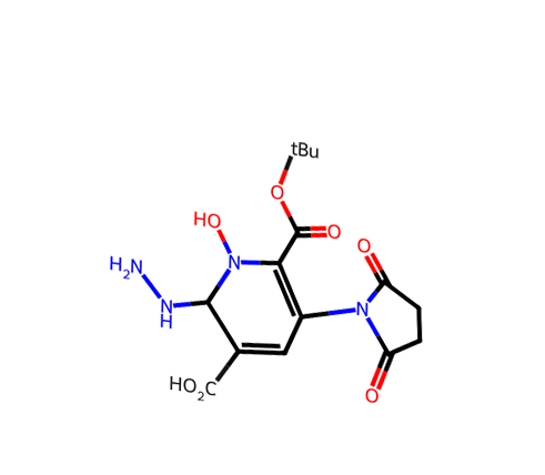 CC(C)(C)OC(=O)C1=C(N2C(=O)CCC2=O)C=C(C(=O)O)C(NN)N1O